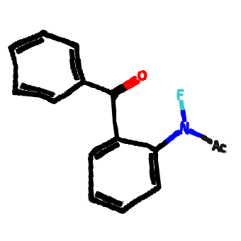 CC(=O)N(F)c1ccccc1C(=O)c1ccccc1